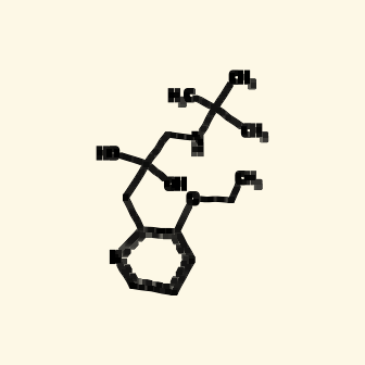 CCOc1cccnc1CC(O)(O)CNC(C)(C)C